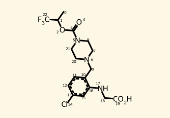 CC(OC(=O)N1CCN(Cc2ccc(Cl)cc2NCC(=O)O)CC1)C(F)(F)F